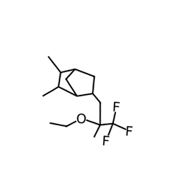 CCOC(C)(CC1CC2CC1C(C)C2C)C(F)(F)F